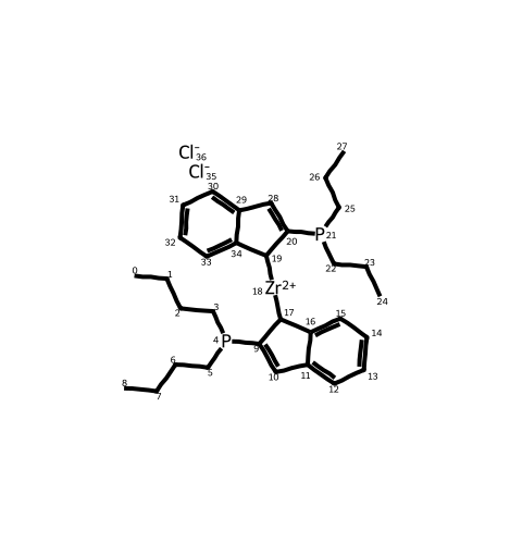 CCCCP(CCCC)C1=Cc2ccccc2[CH]1[Zr+2][CH]1C(P(CCC)CCC)=Cc2ccccc21.[Cl-].[Cl-]